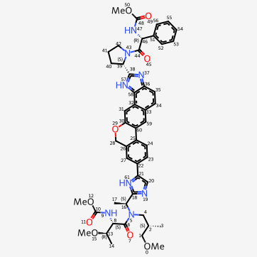 COC[C@@H](C)CN(C(=O)[C@@H](NC(=O)OC)[C@@H](C)OC)[C@@H](C)c1ncc(-c2ccc3c(c2)COc2cc4c(ccc5nc([C@@H]6CCCN6C(=O)[C@H](NC(=O)OC)c6ccccc6)[nH]c54)cc2-3)[nH]1